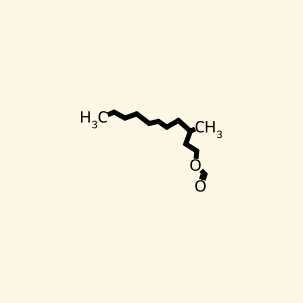 CCCCCCCCC(C)CCOC=O